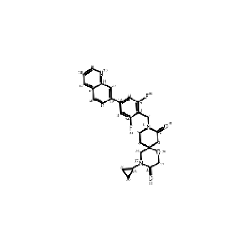 O=C1CC2(CCN1Cc1c(F)cc(-c3ccc4cccnc4c3)cc1F)CN(C1CC1)C(=O)CO2